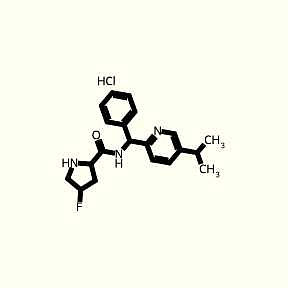 CC(C)c1ccc(C(NC(=O)C2CC(F)CN2)c2ccccc2)nc1.Cl